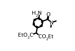 CCOC(=O)C(C(=O)OCC)c1ccc(N)c(C(=O)N(C)C)c1